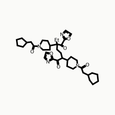 CCC(CCC(C(=O)c1ncco1)C1CCN(C(=O)CC2CCCCC2)CC1)(C(=O)c1ncco1)C1CCN(C(=O)CC2CCCC2)CC1